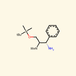 CNC(CO[Si](C)(C)C(C)(C)C)[C@@H](N)c1ccccc1